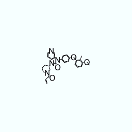 C=CC(=O)N1CCCC(n2c(=O)n(-c3ccc(Oc4cccc(OC)c4C)cc3)c3cnccc32)C1